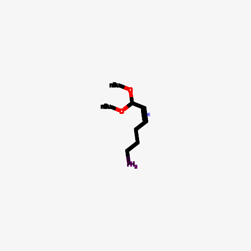 CCCCOC(/C=C\CCCP)OCCCC